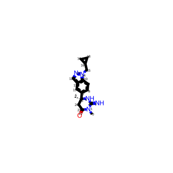 CN1C(=N)N[C@](C)(c2ccc3c(cnn3CC3CC3)c2)CC1=O